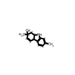 Cc1ccc2c(c1)NC1CC(C)(C)C=CC21